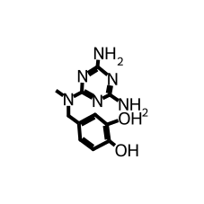 CN(Cc1ccc(O)c(O)c1)c1nc(N)nc(N)n1